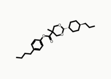 CCCCc1ccc(OC(=O)C2(C)COC([C@H]3CC[C@H](CCC)CC3)OC2)cc1